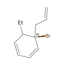 C=CC[C@]1(Br)C=CC=CC1CC